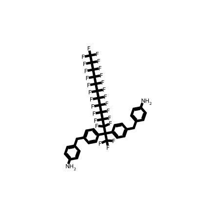 Nc1ccc(Cc2ccc(C(c3ccc(Cc4ccc(N)cc4)cc3)(C(F)(F)F)C(F)(F)C(F)(F)C(F)(F)C(F)(F)C(F)(F)C(F)(F)C(F)(F)C(F)(F)C(F)(F)C(F)(F)C(F)(F)F)cc2)cc1